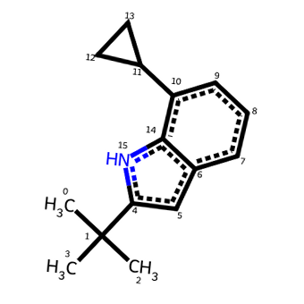 CC(C)(C)c1cc2cccc(C3CC3)c2[nH]1